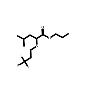 CCCOC(=O)C(CC(C)C)SCCC(F)(F)F